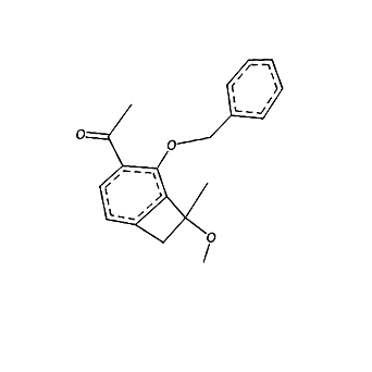 COC1(C)Cc2ccc(C(C)=O)c(OCc3ccccc3)c21